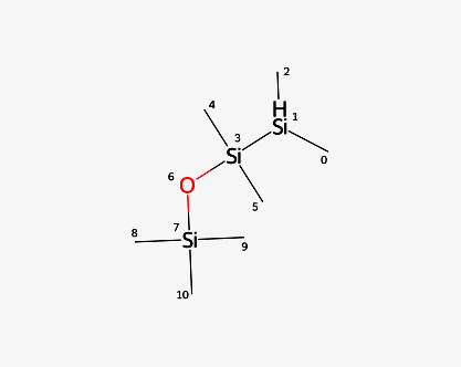 C[SiH](C)[Si](C)(C)O[Si](C)(C)C